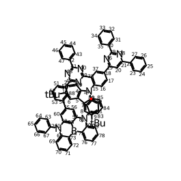 CC(C)(C)c1ccc2c(c1)c1cc(C(C)(C)C)ccc1n2-c1ccc(-c2cc(-c3ccccc3)nc(-c3ccccc3)n2)cc1-c1nc(-c2ccccc2)nc(-c2cccc(-c3cc4c5c(c3)N(c3ccccc3)c3ccccc3B5c3ccccc3N4c3ccccc3)c2)n1